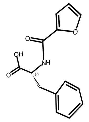 O=C(N[C@H](Cc1ccccc1)C(=O)O)c1ccco1